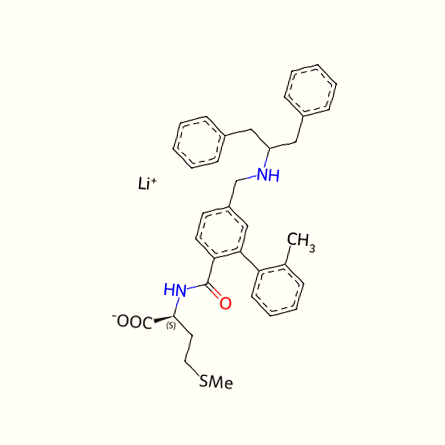 CSCC[C@H](NC(=O)c1ccc(CNC(Cc2ccccc2)Cc2ccccc2)cc1-c1ccccc1C)C(=O)[O-].[Li+]